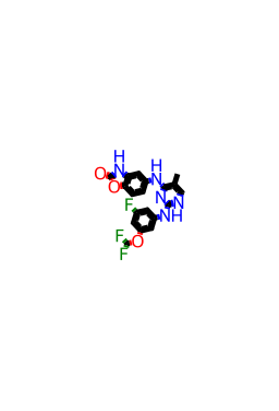 Cc1cnc(Nc2cc(F)cc(OC(F)F)c2)nc1Nc1ccc2oc(=O)[nH]c2c1